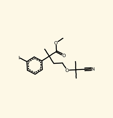 COC(=O)C(C)(CCOC(C)(C)C#N)c1cccc(I)c1